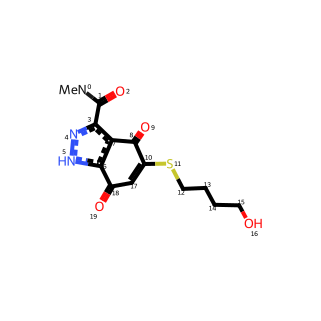 CNC(=O)c1n[nH]c2c1C(=O)C(SCCCCO)=CC2=O